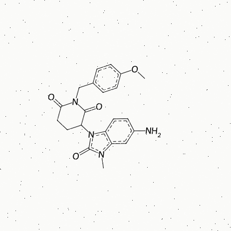 COc1ccc(CN2C(=O)CCC(n3c(=O)n(C)c4cc(N)ccc43)C2=O)cc1